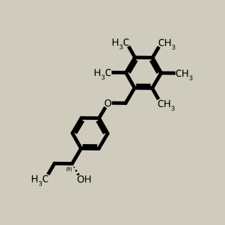 CC[C@@H](O)c1ccc(OCc2c(C)c(C)c(C)c(C)c2C)cc1